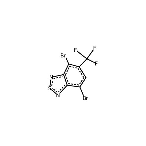 FC(F)(F)c1cc(Br)c2nsnc2c1Br